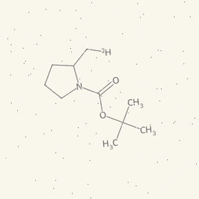 [2H]CC1CCCN1C(=O)OC(C)(C)C